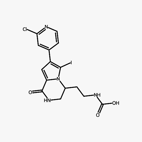 O=C(O)NCCC1CNC(=O)c2cc(-c3ccnc(Cl)c3)c(I)n21